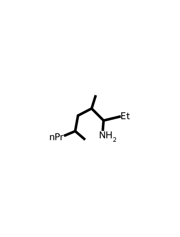 CCCC(C)CC(C)C(N)CC